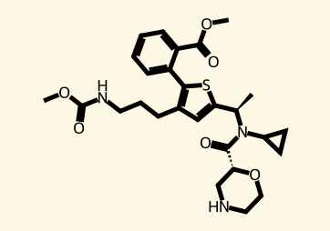 COC(=O)NCCCc1cc([C@@H](C)N(C(=O)[C@H]2CNCCO2)C2CC2)sc1-c1ccccc1C(=O)OC